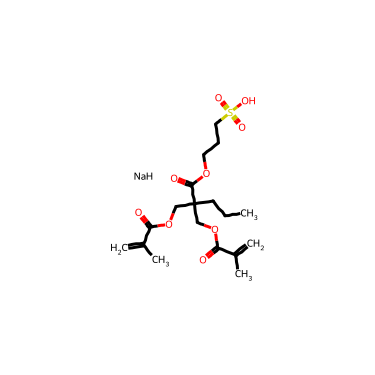 C=C(C)C(=O)OCC(CCC)(COC(=O)C(=C)C)C(=O)OCCCS(=O)(=O)O.[NaH]